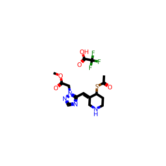 COC(=O)Cn1ncnc1/C=C1\CNCCC1SC(C)=O.O=C(O)C(F)(F)F